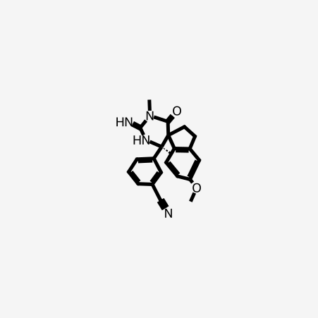 COc1ccc2c(c1)CCC21C(=O)N(C)C(=N)N[C@]1(C)c1cccc(C#N)c1